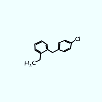 CCc1ccccc1Cc1ccc(Cl)cc1